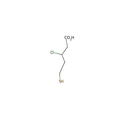 O=C(O)CC(Cl)CCS